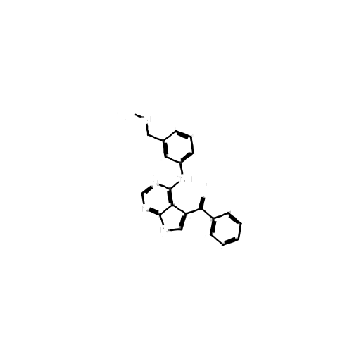 O=C(O)NCc1cccc(Nc2ncnc3[nH]cc(C(=O)c4ccccc4)c23)c1